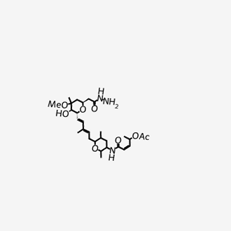 COC1(C)C[C@@H](CC(=O)NN)O[C@H](/C=C/C(C)=C/CC2OC(C)C(NC(=O)/C=C\C(C)OC(C)=O)CC2C)[C@H]1O